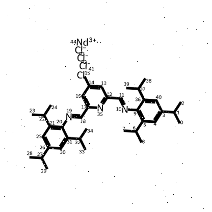 CC(C)c1cc(C(C)C)c(N=Cc2cc(Cl)cc(C=Nc3c(C(C)C)cc(C(C)C)cc3C(C)C)n2)c(C(C)C)c1.[Cl-].[Cl-].[Cl-].[Nd+3]